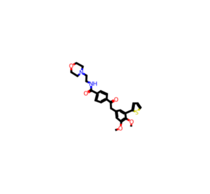 COc1cc(CC(=O)c2ccc(C(=O)NCCN3CCOCC3)cc2)cc(-c2cccs2)c1OC